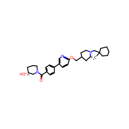 O=C(c1ccc(-c2ccc(OCC3CCN(CC4(C(F)(F)F)CCCCC4)CC3)nc2)cc1)N1CCC[C@@H](O)C1